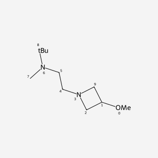 COC1CN(CCN(C)C(C)(C)C)C1